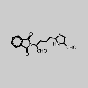 O=CC1CS[C@H](CCCC(C=O)N2C(=O)c3ccccc3C2=O)N1